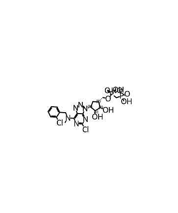 CN(Cc1ccccc1Cl)c1nc(Cl)nc2c1nnn2[C@@H]1C[C@H](COP(=O)(O)CP(=O)(O)O)[C@@H](O)[C@H]1O